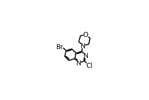 Clc1nc(N2CCOCC2)c2cc(Br)ccc2n1